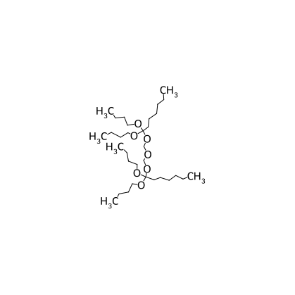 CCCCCCC(OCCCC)(OCCCC)OCOCOC(CCCCCC)(OCCCC)OCCCC